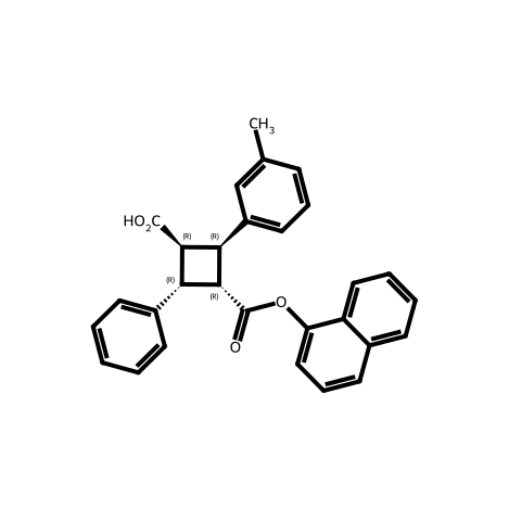 Cc1cccc([C@@H]2[C@H](C(=O)O)[C@@H](c3ccccc3)[C@H]2C(=O)Oc2cccc3ccccc23)c1